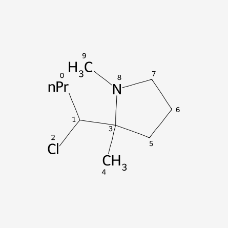 CCCC(Cl)C1(C)CCCN1C